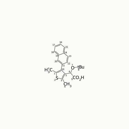 Cc1sc(C)c(C(OC(C)(C)C)C(=O)O)c1-c1ccc2ccccc2c1